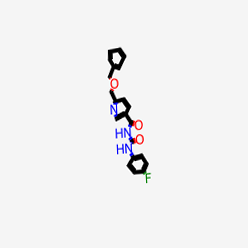 O=C(NC(=O)c1ccc(COCc2ccccc2)nc1)Nc1ccc(F)cc1